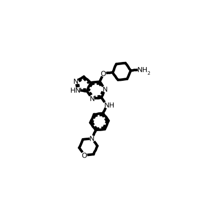 NC1CCC(Oc2nc(Nc3ccc(N4CCOCC4)cc3)nc3[nH]ncc23)CC1